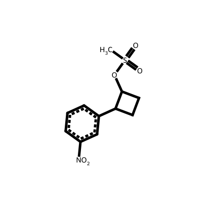 CS(=O)(=O)OC1CCC1c1cccc([N+](=O)[O-])c1